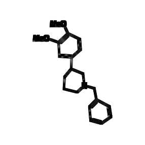 COc1ccc(C2CCCN(Cc3ccccc3)C2)cc1OC